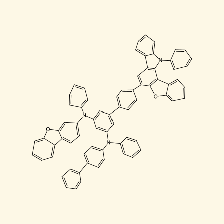 c1ccc(-c2ccc(N(c3ccccc3)c3cc(-c4ccc(-c5cc6c7ccccc7n(-c7ccccc7)c6c6c5oc5ccccc56)cc4)cc(N(c4ccccc4)c4ccc5c(c4)oc4ccccc45)c3)cc2)cc1